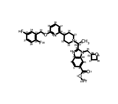 CC(C)OC(=O)c1ccc2nc([C@H](C)N3CCC(c4cccc(OCc5cc(F)ccc5F)n4)CC3)n(C[C@@H]3CCO3)c2c1